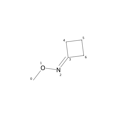 CON=C1CCC1